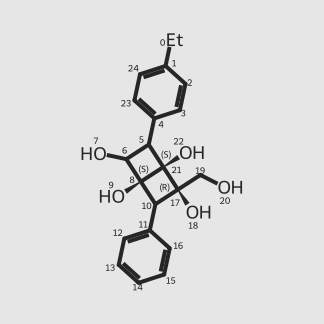 CCc1ccc(C2C(O)[C@@]3(O)C(c4ccccc4)[C@@](O)(CO)[C@@]23O)cc1